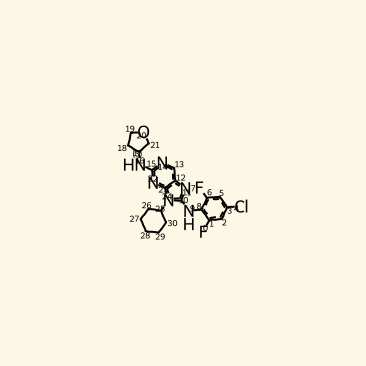 Fc1cc(Cl)cc(F)c1Nc1nc2cnc(N[C@H]3CCOC3)nc2n1C1CCCCC1